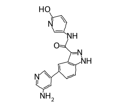 Nc1cncc(-c2ccc3[nH]nc(C(=O)Nc4ccc(O)nc4)c3c2)c1